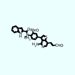 COc1cc(-c2csc3c(C=CC=O)cnc(N)c23)ccc1N(C)C(=O)c1cc2ccccc2[nH]1